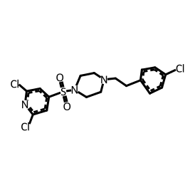 O=S(=O)(c1cc(Cl)nc(Cl)c1)N1CCN(CCc2ccc(Cl)cc2)CC1